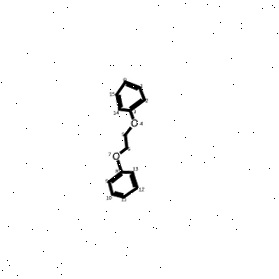 [c]1ccc(OCCOc2ccccc2)cc1